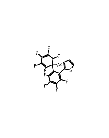 CC(=O)C1(c2c(F)c(F)c(F)c(F)c2-c2cccs2)C(F)=C(F)C(F)=C(F)C1F